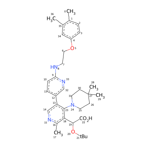 Cc1ccc(OCCNc2ccc(-c3cnc(C)c(C(OC(C)(C)C)C(=O)O)c3N3CCC(C)(C)CC3)cn2)cc1C